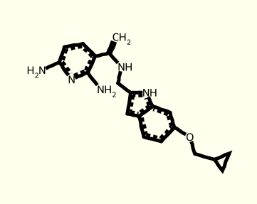 C=C(NCc1cc2ccc(OCC3CC3)cc2[nH]1)c1ccc(N)nc1N